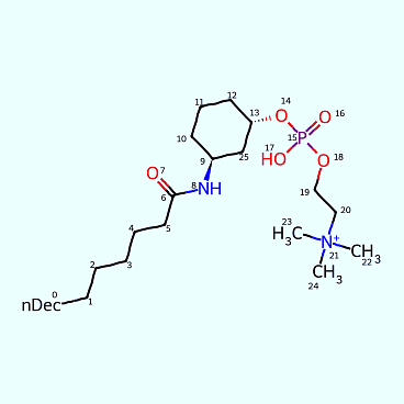 CCCCCCCCCCCCCCCC(=O)N[C@H]1CCC[C@H](OP(=O)(O)OCC[N+](C)(C)C)C1